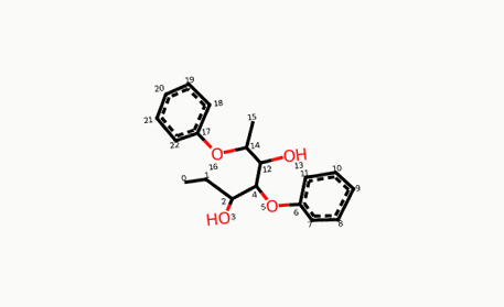 CCC(O)C(Oc1ccccc1)C(O)C(C)Oc1ccccc1